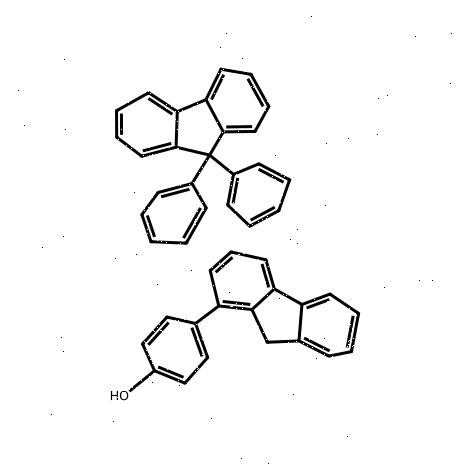 Oc1ccc(-c2cccc3c2Cc2ccccc2-3)cc1.c1ccc(C2(c3ccccc3)c3ccccc3-c3ccccc32)cc1